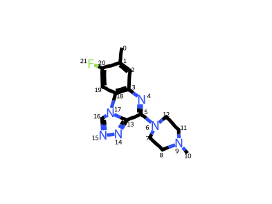 Cc1cc2nc(N3CCN(C)CC3)c3nncn3c2cc1F